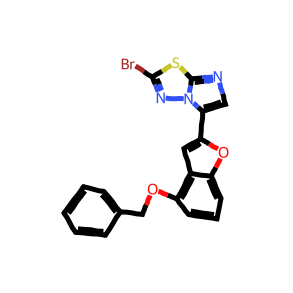 Brc1nn2c(-c3cc4c(OCc5ccccc5)cccc4o3)cnc2s1